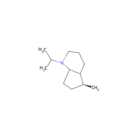 CC(C)N1CCCC2C1CC[C@@H]2C